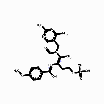 COc1ccc(/C(O)=[SH]/C(CCOP(=O)(O)O)=C(/C)N(C=O)Cc2cnc(C)nc2N)cc1